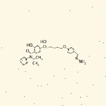 CC(C)N(C(=O)c1ccc(OCCCCCOc2ccc(C=NN)cc2)cc1O)c1ccccc1.Cl